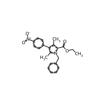 CCOC(=O)c1c(C)c(-c2ccc([N+](=O)[O-])cc2)c(C)n1Cc1ccccc1